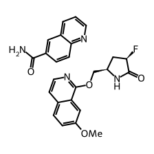 COc1ccc2ccnc(OC[C@H]3C[C@@H](F)C(=O)N3)c2c1.NC(=O)c1ccc2ncccc2c1